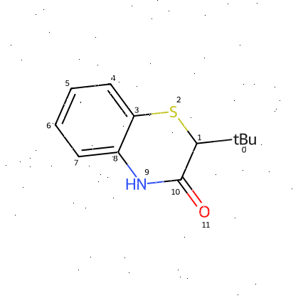 CC(C)(C)C1Sc2ccccc2NC1=O